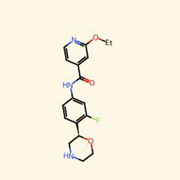 CCOc1cc(C(=O)Nc2ccc([C@@H]3CNCCO3)c(F)c2)ccn1